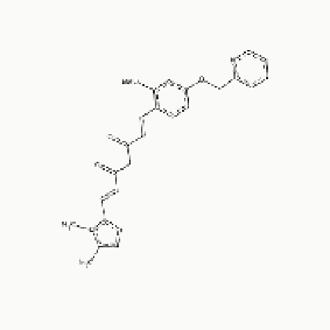 COc1cc(OCc2ccccn2)ccc1/C=C/C(=O)CC(=O)/C=C/c1ccc(C)n1C